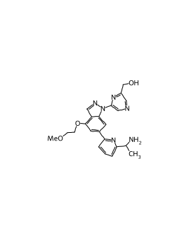 COCCOc1cc(-c2cccc(C(C)N)n2)cc2c1cnn2-c1cncc(CO)n1